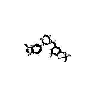 Cn1cnc2ccc([C@H]3CN(Cc4cc(F)cc(OC(F)(F)F)c4)CCO3)cc21